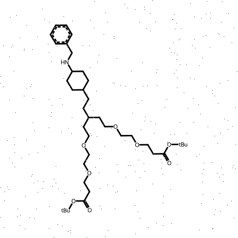 CC(C)(C)OC(=O)CCOCCOCCC(CCOCCOCCC(=O)OC(C)(C)C)CCC1CCC(NCc2ccccc2)CC1